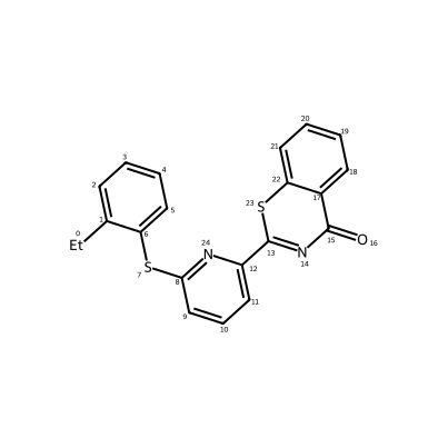 CCc1ccccc1Sc1cccc(-c2nc(=O)c3ccccc3s2)n1